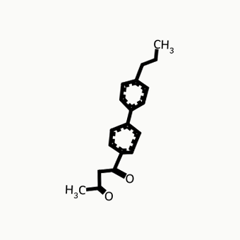 CCCc1ccc(-c2ccc(C(=O)CC(C)=O)cc2)cc1